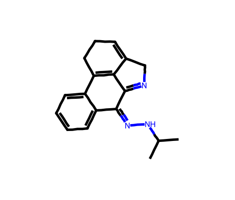 CC(C)N/N=C1\C2=NCC3=CCCC(=C32)c2ccccc21